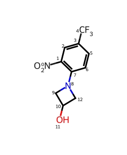 O=[N+]([O-])c1cc(C(F)(F)F)ccc1N1CC(O)C1